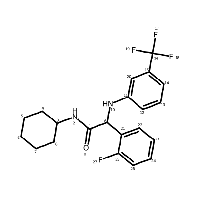 O=C(NC1CCCCC1)C(Nc1cccc(C(F)(F)F)c1)c1ccccc1F